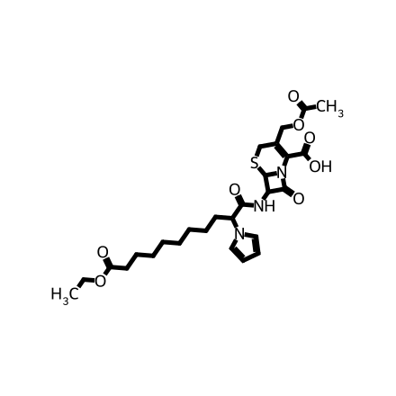 CCOC(=O)CCCCCCCCC(C(=O)NC1C(=O)N2C(C(=O)O)=C(COC(C)=O)CSC12)n1cccc1